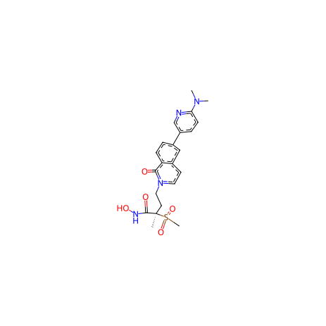 CN(C)c1ccc(-c2ccc3c(=O)n(CC[C@](C)(C(=O)NO)S(C)(=O)=O)ccc3c2)cn1